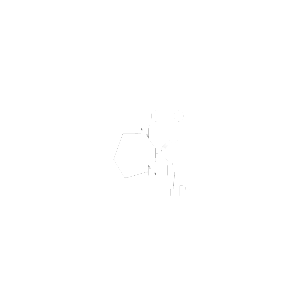 CCCSP1(=O)NCCCN1C=O